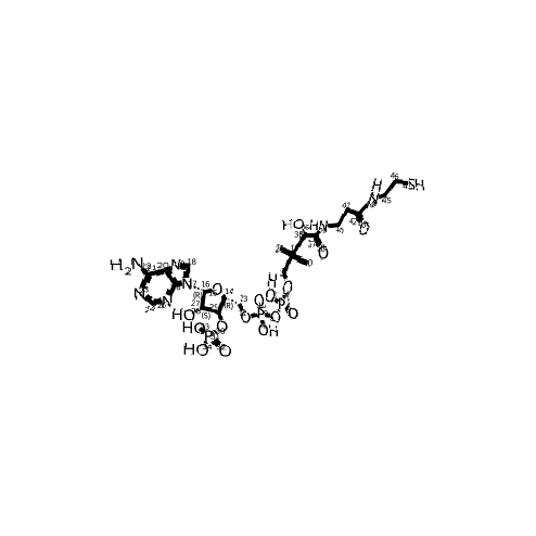 CC(C)(COP(=O)(O)OP(=O)(O)OC[C@H]1O[C@@H](n2cnc3c(N)ncnc32)[C@@H](O)C1OP(=O)(O)O)[C@@H](O)C(=O)NCCC(=O)NCCS